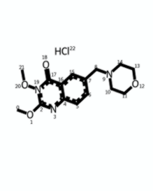 COc1nc2ccc(CN3CCOCC3)cc2c(=O)n1OC.Cl